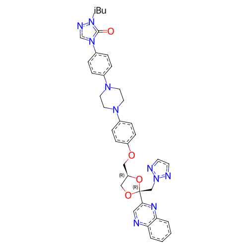 CCC(C)n1ncn(-c2ccc(N3CCN(c4ccc(OC[C@@H]5CO[C@@](Cn6nccn6)(c6cnc7ccccc7n6)O5)cc4)CC3)cc2)c1=O